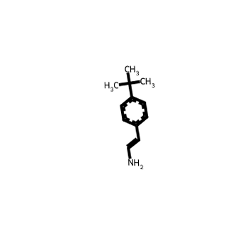 CC(C)(C)c1ccc(C=CN)cc1